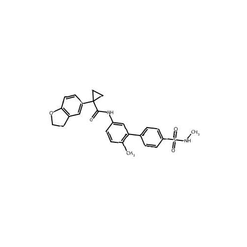 CNS(=O)(=O)c1ccc(-c2cc(NC(=O)C3(c4ccc5c(c4)CCO5)CC3)ccc2C)cc1